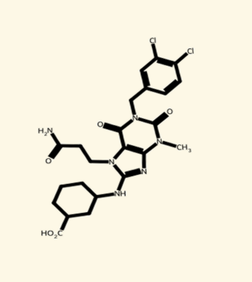 Cn1c(=O)n(Cc2ccc(Cl)c(Cl)c2)c(=O)c2c1nc(NC1CCCC(C(=O)O)C1)n2CCC(N)=O